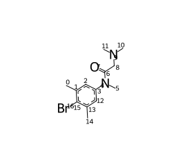 Cc1cc(N(C)C(=O)CN(C)C)cc(C)c1Br